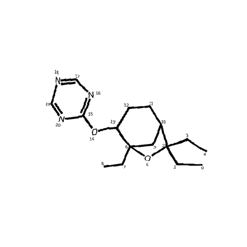 CCC1(CC)OC2(CC)CC1CCC2Oc1ncncn1